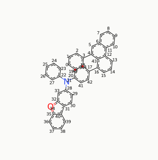 c1ccc(-c2cc3ccccc3c3cccc(-c4ccc(N(c5ccccc5)c5ccc6c(c5)oc5ccccc56)cc4)c23)cc1